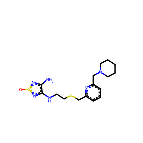 Nc1n[s+]([O-])nc1NCCSCc1cccc(CN2CCCCC2)n1